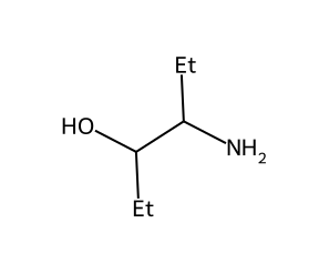 CCC(N)C(O)CC